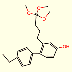 CCc1ccc(-c2ccc(O)cc2CCC[Si](OC)(OC)OC)cc1